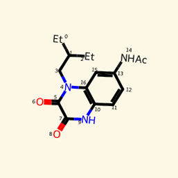 CCC(CC)Cn1c(=O)c(=O)[nH]c2ccc(NC(C)=O)cc21